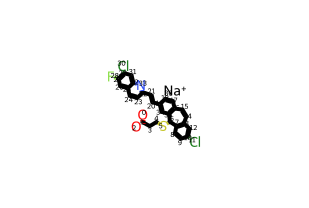 O=C([O-])CCSC1c2ccc(Cl)cc2C=Cc2ccc(C=Cc3ccc4cc(F)c(Cl)cc4n3)cc21.[Na+]